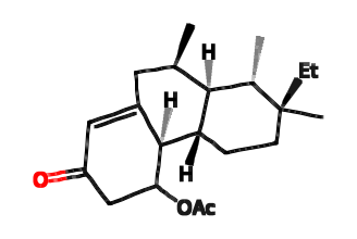 CC[C@@]1(C)CC[C@H]2[C@@H]([C@H](C)CC3=CC(=O)CC(OC(C)=O)[C@@H]32)[C@@H]1C